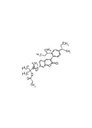 C=CC(=O)OC(C)(C)B(C)Oc1ccc2cc(-c3ccc(C(C)CC)cc3C(C)CC)c(=O)oc2c1